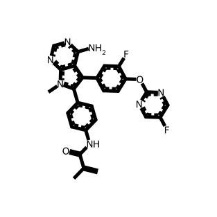 C=C(C)C(=O)Nc1ccc(-c2c(-c3ccc(Oc4ncc(F)cn4)c(F)c3)c3c(N)ncnc3n2C)cc1